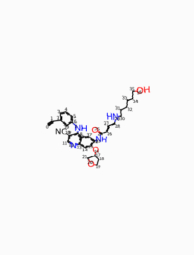 C#Cc1cccc(Nc2c(C#N)cnc3cc(OC4CCOC4)c(NC(=O)C=CCNCCCCCCO)cc23)c1